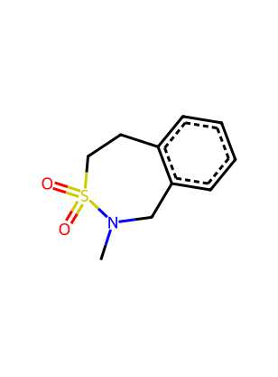 CN1Cc2ccccc2CCS1(=O)=O